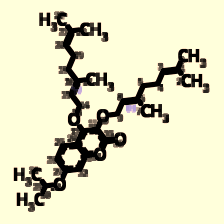 CC(C)=CCC/C(C)=C/COc1c(OC/C=C(\C)CCC=C(C)C)c2ccc(OC(C)C)cc2oc1=O